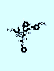 CCCC(CCC)S(=O)(=O)C[C@@H](NC(=O)OCc1ccccc1)C(=O)N[C@@H](Cc1cc(F)cc(F)c1)[C@H](O)CNCc1cccc(CC)c1